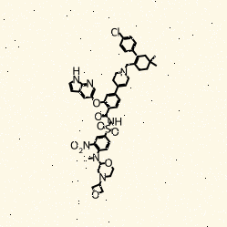 CN(c1ccc(S(=O)(=O)NC(=O)c2ccc(C3=CCN(CC4=C(c5ccc(Cl)cc5)CC(C)(C)CC4)CC3)cc2Oc2cnc3[nH]ccc3c2)cc1[N+](=O)[O-])C1CN(C2COC2)CCO1